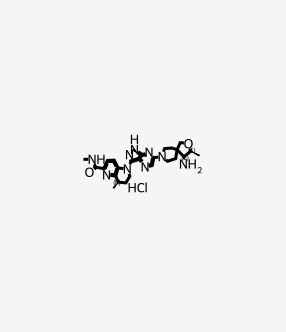 CNC(=O)c1ccc2c(n1)[C@H](C)CCN2c1n[nH]c2nc(N3CCC4(CC3)CO[C@@H](C)[C@H]4N)cnc12.Cl